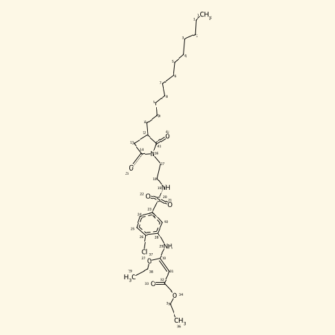 CCCCCCCCCCCCC1CC(=O)N(CCNS(=O)(=O)c2ccc(Cl)c(NC(=CC(=O)OCC)OCC)c2)C1=O